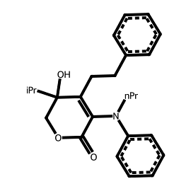 CCCN(C1=C(CCc2ccccc2)C(O)(C(C)C)COC1=O)c1ccccc1